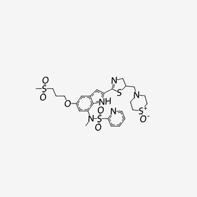 CN(c1cc(OCCCS(C)(=O)=O)cc2cc(C3=NCC(CN4CC[S+]([O-])CC4)S3)[nH]c12)S(=O)(=O)c1ccccn1